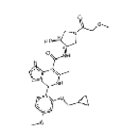 COCC(=O)N1C[C@H](O)[C@H](NC(=O)C2=C(C)NC(c3ccc(OC)cc3OCC3CC3)c3cc[nH]c32)C1